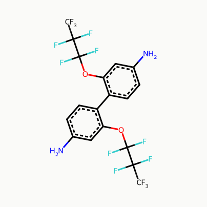 Nc1ccc(-c2ccc(N)cc2OC(F)(F)C(F)(F)C(F)(F)F)c(OC(F)(F)C(F)(F)C(F)(F)F)c1